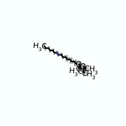 CCCCCC/C=C/CCCCCCCCOC(=O)OC(C)C(C)C